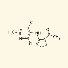 CC(=O)N1CCN=C1Nc1c(Cl)cc(C)nc1Cl